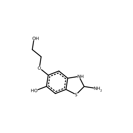 NC1Nc2cc(OCCO)c(O)cc2S1